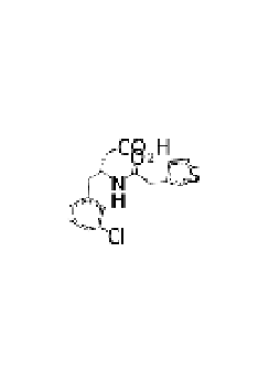 O=C(O)C[C@@H](Cc1cccc(Cl)c1)NC(=O)Cc1ccsc1